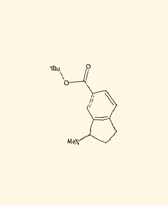 CNC1CCc2ccc(C(=O)OC(C)(C)C)cc21